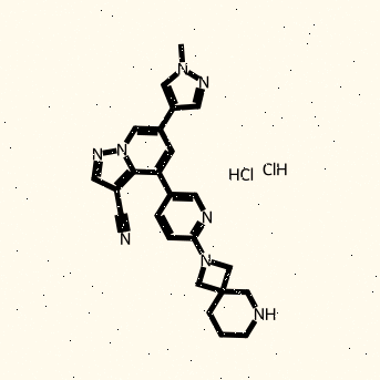 Cl.Cl.Cn1cc(-c2cc(-c3ccc(N4CC5(CCCNC5)C4)nc3)c3c(C#N)cnn3c2)cn1